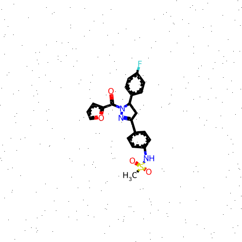 CS(=O)(=O)Nc1ccc(C2=NN(C(=O)c3ccco3)C(c3ccc(F)cc3)C2)cc1